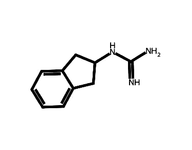 N=C(N)NC1Cc2ccccc2C1